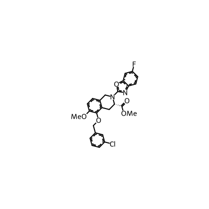 COC(=O)[C@@H]1Cc2c(ccc(OC)c2OCc2cccc(Cl)c2)CN1c1nc2ccc(F)cc2o1